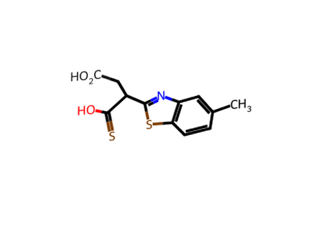 Cc1ccc2sc(C(CC(=O)O)C(O)=S)nc2c1